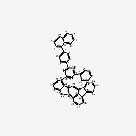 c1ccc(-c2nc(-c3ccc(-c4cccc5ccccc45)cc3)nc(-c3cccc4oc5c6cccc7c6c(cc5c34)-c3ccccc3-7)n2)cc1